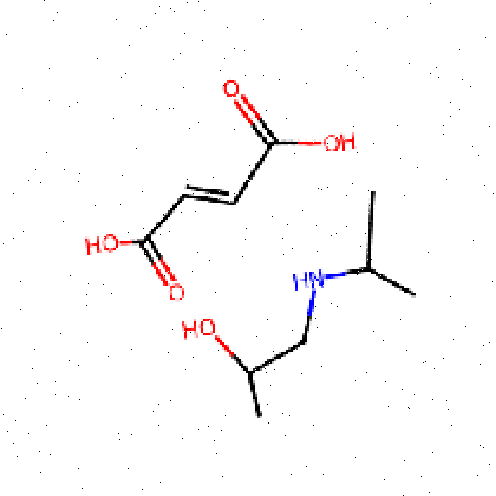 CC(O)CNC(C)C.O=C(O)/C=C/C(=O)O